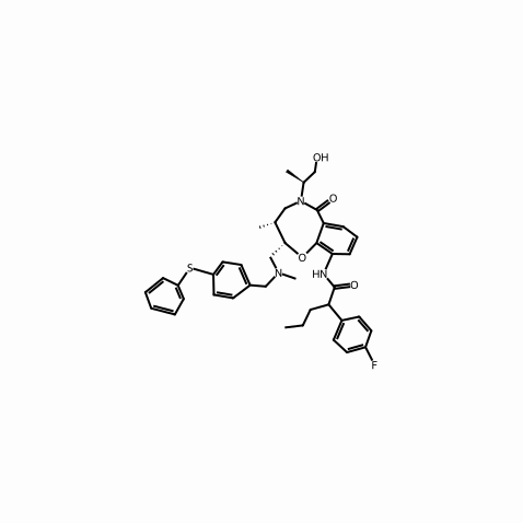 CCCC(C(=O)Nc1cccc2c1O[C@H](CN(C)Cc1ccc(Sc3ccccc3)cc1)[C@H](C)CN([C@@H](C)CO)C2=O)c1ccc(F)cc1